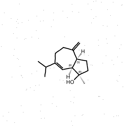 C=C1CCC(C(C)C)=C[C@H]2[C@@H]1CC[C@@]2(C)O